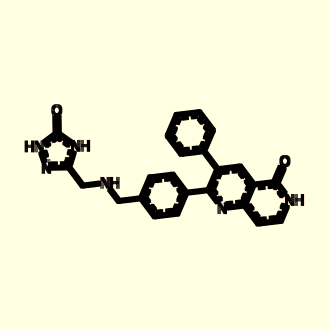 O=c1[nH]nc(CNCc2ccc(-c3nc4cc[nH]c(=O)c4cc3-c3ccccc3)cc2)[nH]1